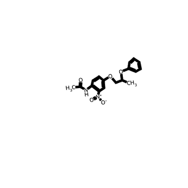 CC(=O)Nc1ccc(OCC(C)Oc2ccccc2)cc1[N+](=O)[O-]